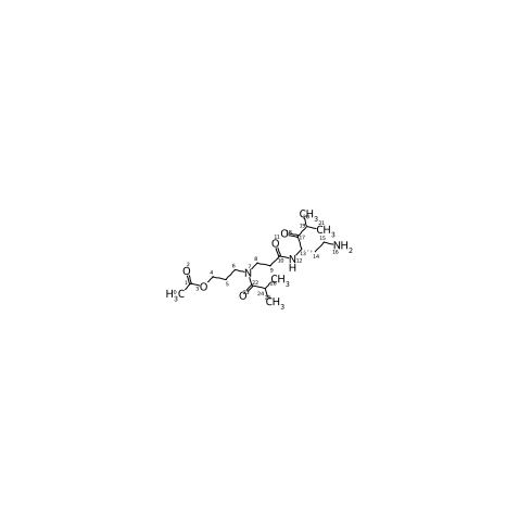 CC(=O)OCCCN(CCC(=O)N[C@@H](CCN)C(=O)C(C)C)C(=O)C(C)C